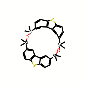 C[Si]1(C)O[Si](C)(C)c2ccc3sc4ccc(cc4c3c2)[Si](C)(C)O[Si](C)(C)c2ccc3sc4ccc1cc4c3c2